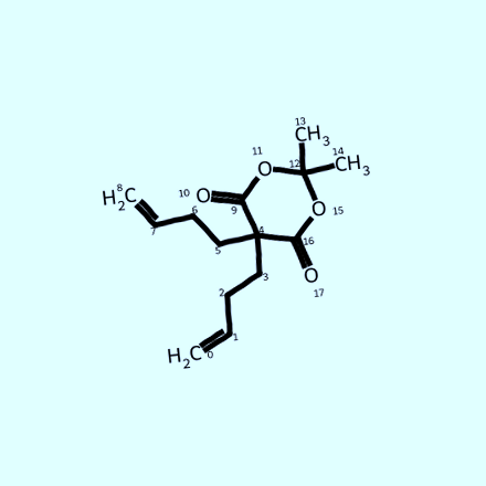 C=CCCC1(CCC=C)C(=O)OC(C)(C)OC1=O